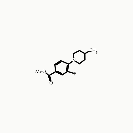 COC(=O)c1ccc(N2CCC(C)CC2)c(F)c1